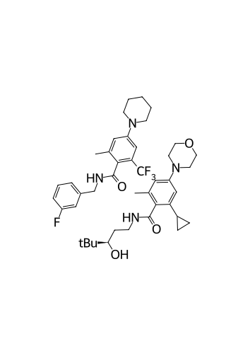 Cc1cc(N2CCCCC2)cc(C(F)(F)F)c1C(=O)NCc1cccc(F)c1.Cc1cc(N2CCOCC2)cc(C2CC2)c1C(=O)NCC[C@@H](O)C(C)(C)C